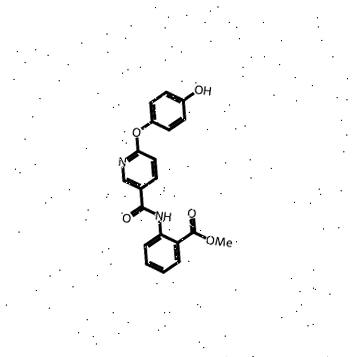 COC(=O)c1ccccc1NC(=O)c1ccc(Oc2ccc(O)cc2)nc1